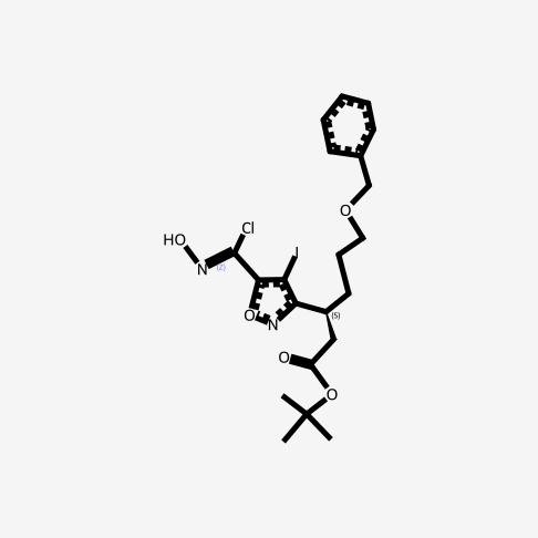 CC(C)(C)OC(=O)C[C@H](CCCOCc1ccccc1)c1noc(/C(Cl)=N/O)c1I